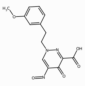 COc1cccc(CCn2cc(N=O)c(=O)c(C(=O)O)n2)c1